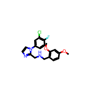 COc1ccc(CNCc2nccn2-c2ccc(F)c(Cl)c2)c(OC)c1